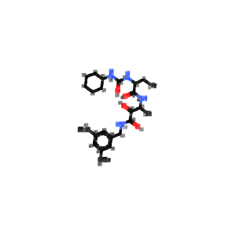 CCC(NC(=O)C(CC(C)C)NC(=O)NC1CCCCC1)C(=O)C(=O)NCc1cc(OC)cc(OC)c1